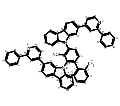 N#Cc1c(-n2c3ccccc3c3ccc(-c4ccnc(-c5ccccc5)c4)cc32)ccc(-c2c(C(F)(F)F)cccc2C(F)(F)F)c1-n1c2ccccc2c2ccc(-c3ccnc(-c4ccccc4)c3)cc21